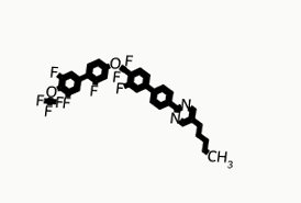 CCCCCc1cnc(-c2ccc(-c3ccc(C(F)(F)Oc4ccc(-c5cc(F)c(OC(F)(F)F)c(F)c5)c(F)c4)c(F)c3)cc2)nc1